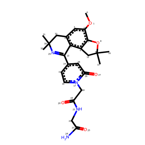 COc1cc2c(c3c1OC(C)(C)C3)C(c1ccn(CC(=O)NCC(N)=O)c(=O)c1)=NC(C)(C)C2